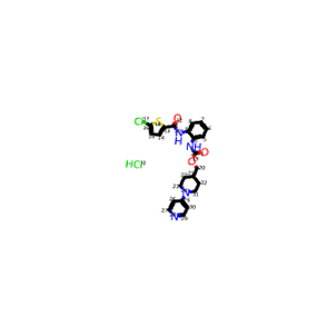 Cl.O=C(Nc1ccccc1NC(=O)c1ccc(Cl)s1)OCC1CCN(c2ccncc2)CC1